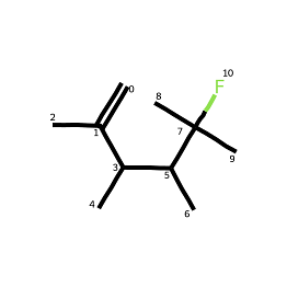 C=C(C)C(C)C(C)C(C)(C)F